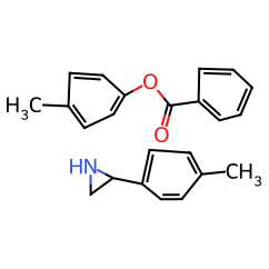 Cc1ccc(C2CN2)cc1.Cc1ccc(OC(=O)c2ccccc2)cc1